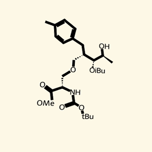 COC(=O)[C@H](COC[C@H](Cc1ccc(C)cc1)[C@@H](OCC(C)C)[C@H](C)O)NC(=O)OC(C)(C)C